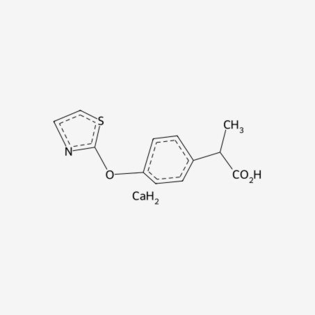 CC(C(=O)O)c1ccc(Oc2nccs2)cc1.[CaH2]